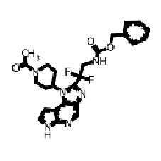 CC(=O)N1CCC(n2c(C(F)(F)CNC(=O)OCc3ccccc3)nc3cnc4[nH]ccc4c32)CC1